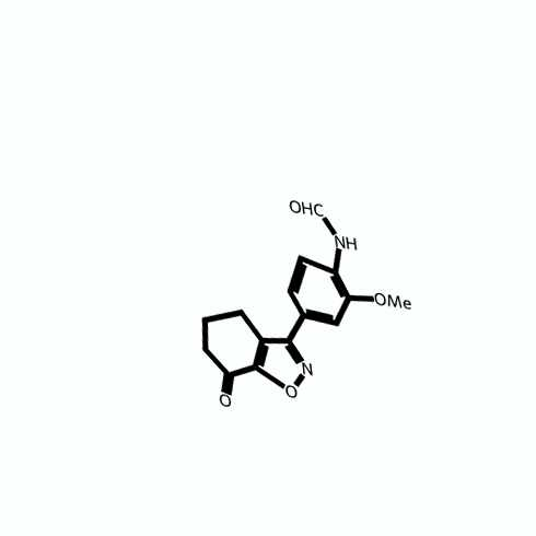 COc1cc(-c2noc3c2CCCC3=O)ccc1NC=O